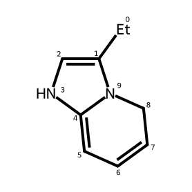 CCC1=CNC2=CC=CCN12